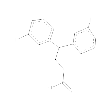 O=C(Cl)CCC(c1cccc(F)c1)c1cccc(F)c1